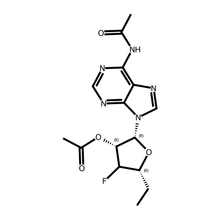 CC[C@H]1O[C@@H](n2cnc3c(NC(C)=O)ncnc32)[C@@H](OC(C)=O)C1F